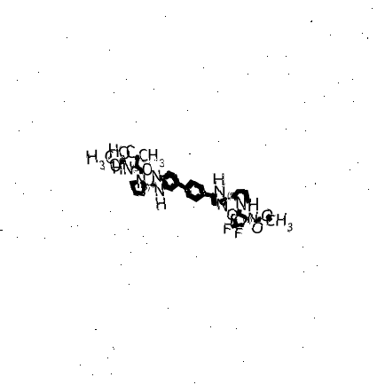 COC(=O)N[C@@H](CC(F)(F)F)C(=O)N1CCC[C@H]1c1ncc(-c2ccc(-c3ccc4nc([C@@H]5CCCN5C(=O)[C@@H](NC(=O)OC)C(C)C)[nH]c4c3)cc2)[nH]1